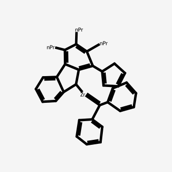 CCCc1c(CCC)c(C2=CC=CC2)c2c(c1CCC)-c1ccccc1[CH]2[Zr]=[C](c1ccccc1)c1ccccc1